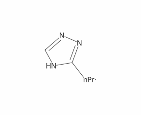 CC[CH]c1nnc[nH]1